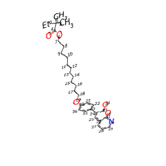 CCC(C)(C)C(=O)OCCCCCCCCCCCCOc1ccc(-c2cc3cccnc3oc2=O)cc1